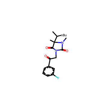 CCCCC(C)C1(C)C(=O)N(CC(=O)c2cccc(F)c2)C(=O)N1C